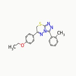 CCOc1ccc(C2=Nn3c(nnc3-c3ccccc3C)SC2)cc1